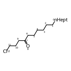 CCCCCCCCCCCCCC(=O)CCCCl